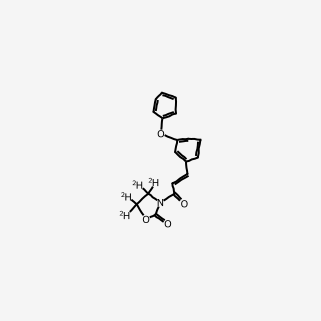 [2H]C1([2H])OC(=O)N(C(=O)/C=C/c2cccc(Oc3ccccc3)c2)C1([2H])[2H]